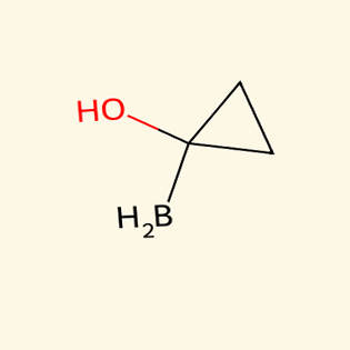 BC1(O)CC1